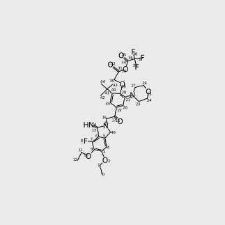 CCOc1cc2c(c(F)c1OCC)C(=N)N(CC(=O)c1cc(N3CCOCC3)c(OCC(=O)OC(=O)C(F)(F)F)c(C(C)(C)C)c1)C2